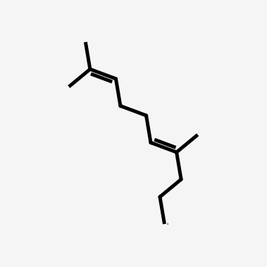 [CH2]CCC(C)=CCCC=C(C)C